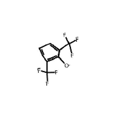 [O]c1c(C(F)(F)F)cccc1C(F)(F)F